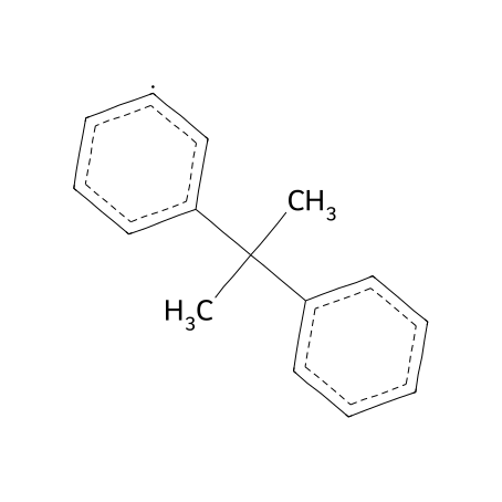 CC(C)(c1c[c]ccc1)c1ccccc1